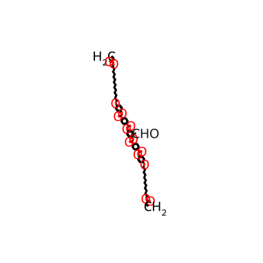 C=CC(=O)OCCCCCCCCCCCCCCOc1ccc(OC(=O)[C@H]2CC[C@H](C(=O)Oc3ccc(OC(=O)[C@H]4CC[C@H](C(=O)Oc5ccc(OCCCCCCCCCCCCOC(=O)C=C)cc5)CC4)c(C=O)c3)CC2)cc1